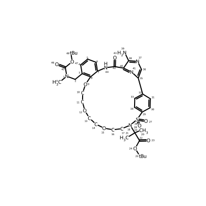 CN(Cc1cccc2c1OCCOCCOCCN(C(C)(C)C(=O)OC(C)(C)C)S(=O)(=O)c1ccc(cc1)-c1cnc(N)c(n1)C(=O)N2)C(=O)OC(C)(C)C